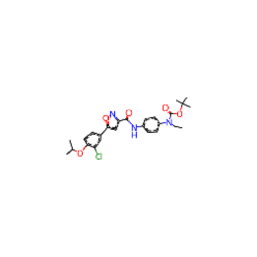 CCN(C(=O)OC(C)(C)C)c1ccc(NC(=O)c2cc(-c3ccc(OC(C)C)c(Cl)c3)on2)cc1